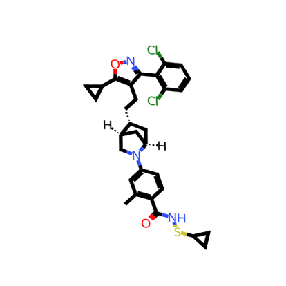 Cc1cc(N2C[C@@H]3C[C@H]2C[C@H]3CCc2c(-c3c(Cl)cccc3Cl)noc2C2CC2)ccc1C(=O)NSC1CC1